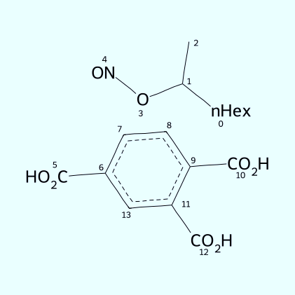 CCCCCCC(C)ON=O.O=C(O)c1ccc(C(=O)O)c(C(=O)O)c1